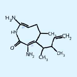 C=CC(C)C(C)/C1=C(\N)C(=O)N/C(N)=C/CC1C